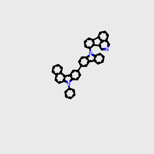 c1ccc(-n2c3ccc(-c4ccc5c(c4)c4ccccc4n5-c4cccc5c4-c4cncc6cccc-5c46)cc3c3c4ccccc4ccc32)cc1